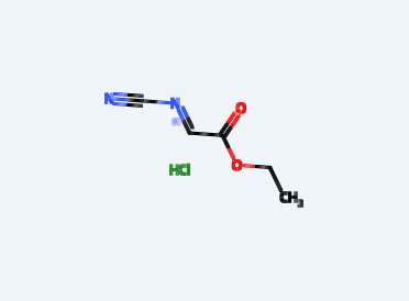 CCOC(=O)/C=N/C#N.Cl